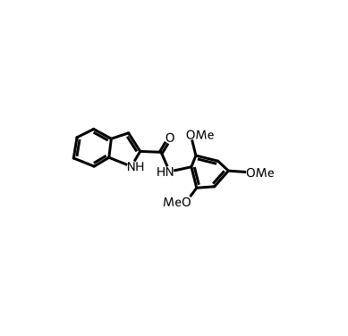 COc1cc(OC)c(NC(=O)c2cc3ccccc3[nH]2)c(OC)c1